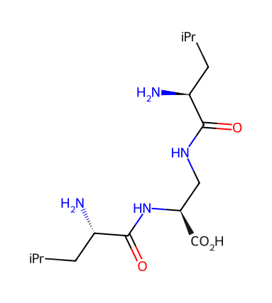 CC(C)C[C@H](N)C(=O)NC[C@H](NC(=O)[C@@H](N)CC(C)C)C(=O)O